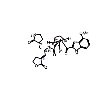 COc1cccc2[nH]c(C(=O)N3[C@H]4CC[C@@H]([C@@H]3C(=O)N[C@H](/C=C3\CCOC3=O)C[C@@H]3CCNC3=O)C(F)(F)C4)cc12